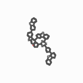 c1ccc(-c2nc(-c3ccc(-c4cccc5c4oc4ccccc45)cc3)nc(-c3cccc4oc5ccc(-c6cccc7sc8ccc(-c9ccc%10c(c9)sc9ccccc9%10)cc8c67)cc5c34)n2)cc1